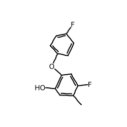 Cc1cc(O)c(Oc2ccc(F)cc2)cc1F